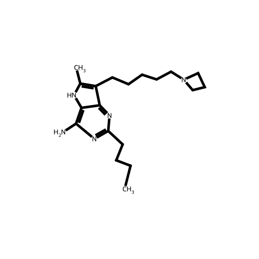 CCCCc1nc(N)c2[nH]c(C)c(CCCCCN3CCC3)c2n1